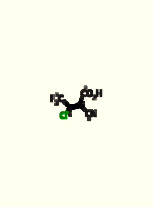 N#C/C(C(=O)O)=C(\Cl)C(F)(F)F